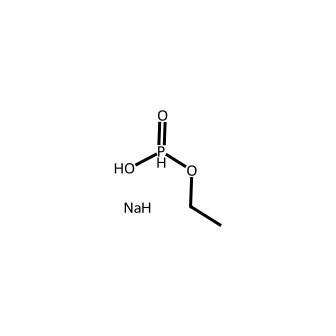 CCO[PH](=O)O.[NaH]